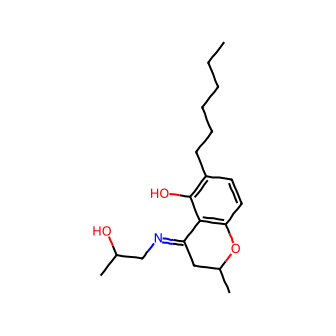 CCCCCCc1ccc2c(c1O)C(=NCC(C)O)CC(C)O2